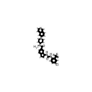 CN(C(=O)c1ccc2c(c1)C(NC(=O)Nc1ccc(Cl)cc1C(F)(F)F)CC2)C1CCN(c2ccc3cnccc3c2)CC1